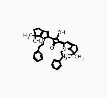 CC1(C)CCC2=C/C(=C3/C(=O)C(c4cc5c(n4CCc4ccccc4)C(C)(C)CC5)=C3O)[N+](CCc3ccccc3)=C21